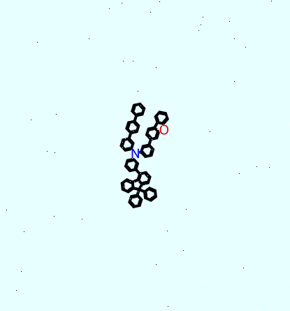 c1ccc(-c2ccc(-c3cccc(N(c4cccc(-c5ccc6c(c5)oc5ccccc56)c4)c4cccc(-c5cccc6c5-c5ccccc5C6(c5ccccc5)c5ccccc5)c4)c3)cc2)cc1